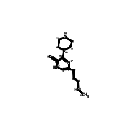 CNCCCc1c[nH]c(=O)c(N2CCOCC2)n1